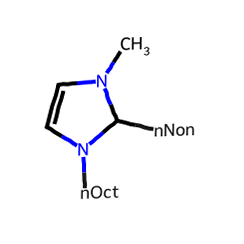 CCCCCCCCCC1N(C)C=CN1CCCCCCCC